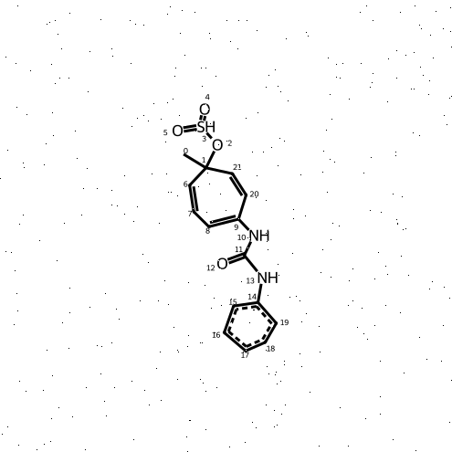 CC1(O[SH](=O)=O)C=CC=C(NC(=O)Nc2ccccc2)C=C1